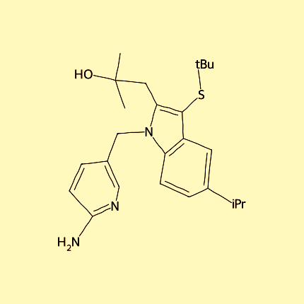 CC(C)c1ccc2c(c1)c(SC(C)(C)C)c(CC(C)(C)O)n2Cc1ccc(N)nc1